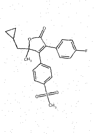 CC1(CC2CC2)OC(=O)C(c2ccc(F)cc2)=C1c1ccc(S(C)(=O)=O)cc1